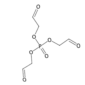 O=CCOP(=O)(OCC=O)OCC=O